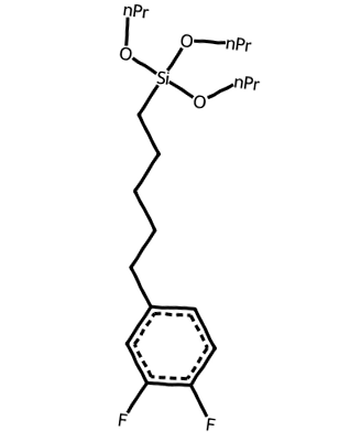 CCCO[Si](CCCCCc1ccc(F)c(F)c1)(OCCC)OCCC